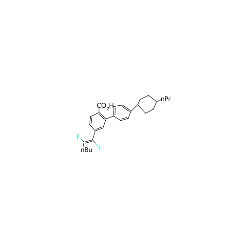 CCCC/C(F)=C(\F)c1ccc(C(=O)O)c(-c2ccc(C3CCC(CCC)CC3)cc2)c1